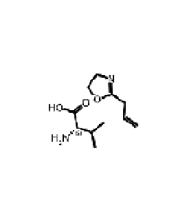 C=CCC1=NCCO1.CC(C)[C@H](N)C(=O)O